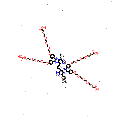 Cc1ccc(-c2c3nsnc3c(-c3ccc(-c4c5nsnc5c(C)c5nc(-c6ccc(OCCOCCOCCOCCSCC(=O)O)cc6)c(-c6ccc(OCCOCCOCCOCCSOC(=O)O)cc6)nc45)s3)c3nc(-c4ccc(OCCOCCOCCOCCSCC(=O)O)cc4)c(-c4ccc(OCCOCCOCCOCCSCC(=O)O)cc4)nc23)s1